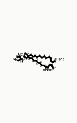 CCCCC/C=C\C/C=C\CCCCCCCCC1(CCCCCCCC/C=C\C/C=C\CCCCC)CC[C@@]2(C1)O[C@H]1CN(C)C[C@H]1O2